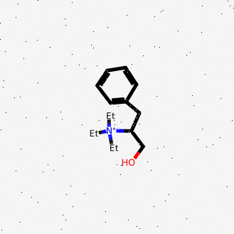 CC[N+](CC)(CC)C(CO)Cc1ccccc1